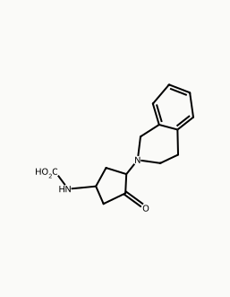 O=C(O)NC1CC(=O)C(N2CCc3ccccc3C2)C1